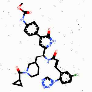 COC(=O)Nc1ccc(-c2cc([C@H](CC3CCCN(C(=O)C4CC4)C3)NC(=O)/C=C/c3cc(Cl)ccc3-n3cnnn3)n[nH]c2=O)cc1